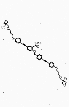 CCC1(COCCCSc2ccc(C#Cc3ccc(OCc4ccc(C#Cc5ccc(SCCCOCC6(CC)COC6)cc5)cc4)c(C(=O)OC)c3)cc2)CCC1